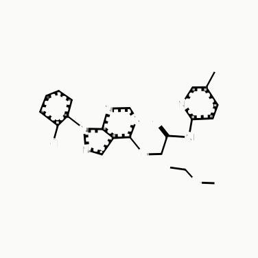 COCC[C@H](Oc1ncnc2c1cnn2-c1ccccc1Cl)C(=O)Nc1ccc(C)cn1